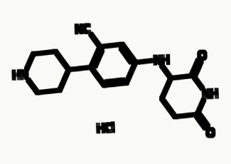 Cl.N#Cc1cc(NC2CCC(=O)NC2=O)ccc1C1CCNCC1